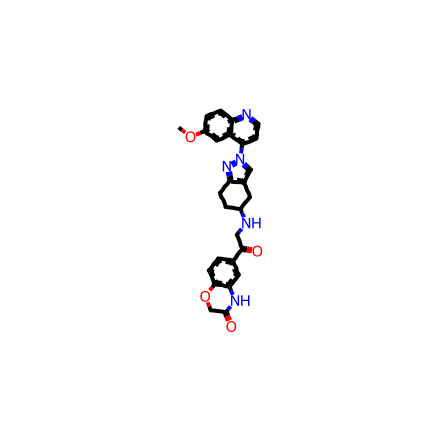 COc1ccc2nccc(-n3cc4c(n3)CCC(NCC(=O)c3ccc5c(c3)NC(=O)CO5)C4)c2c1